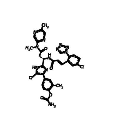 Cc1cnc(N(C)C(=O)C[C@H](NC(=O)/C=C/c2cc(Cl)ccc2-n2cnnn2)c2nc(-c3ccc(OC(N)=O)c(C)c3)c(Cl)[nH]2)cn1